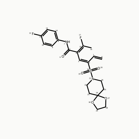 C=C/C(=C\C(C(=O)Nc1ccc(F)cc1)=C(/C)F)S(=O)(=O)N1CCC2(CC1)OCCO2